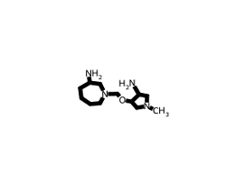 CN1CC(N)C(OCN2CCCCC(N)C2)C1